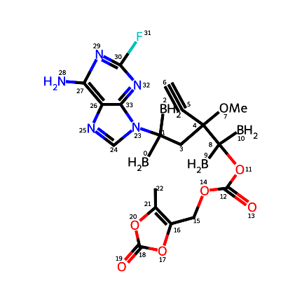 BC(B)(CC(C#C)(OC)C(B)(B)OC(=O)OCc1oc(=O)oc1C)n1cnc2c(N)nc(F)nc21